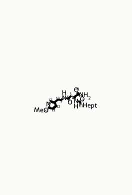 CCCCCCCC(=O)N[C@H](CC(=O)NCCc1ccc(OC)nc1)C(N)=O